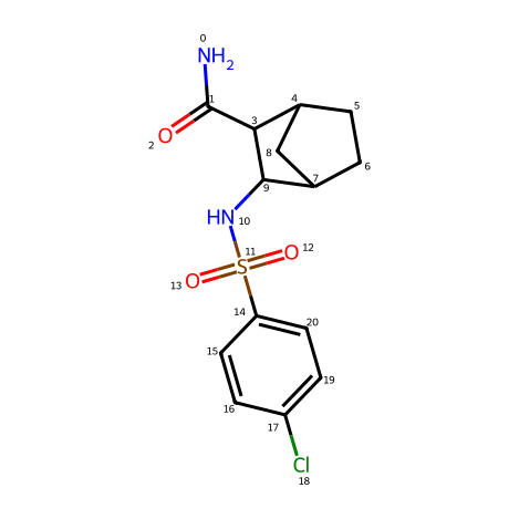 NC(=O)C1C2CCC(C2)C1NS(=O)(=O)c1ccc(Cl)cc1